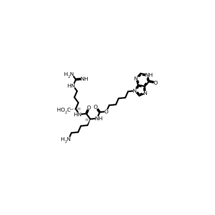 N=C(N)NCCC[C@H](NC(=O)[C@H](CCCCN)NC(=O)OCCCCCn1cnc2c(=O)[nH]cnc21)C(=O)O